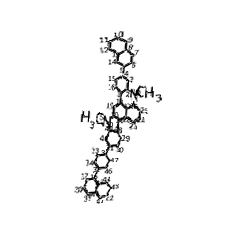 CN1c2cc(-c3ccc4ccccc4c3)ccc2-c2cc3c(c4cccc1c24)c1ccc(-c2ccc(-c4cccc5ccccc45)cc2)cc1n3C